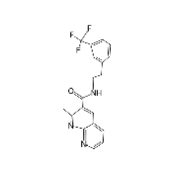 Cc1nc2ncccc2cc1C(=O)NCCc1cccc(C(F)(F)F)c1